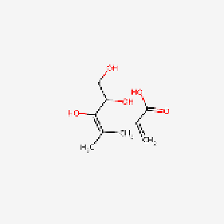 C=CC(=O)O.CC(C)=C(O)C(O)CO